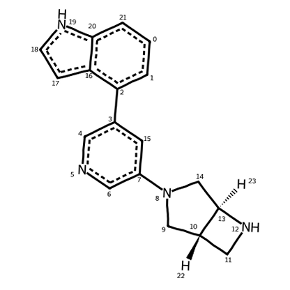 c1cc(-c2cncc(N3C[C@H]4CN[C@@H]4C3)c2)c2cc[nH]c2c1